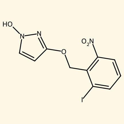 O=[N+]([O-])c1cccc(I)c1COc1ccn(O)n1